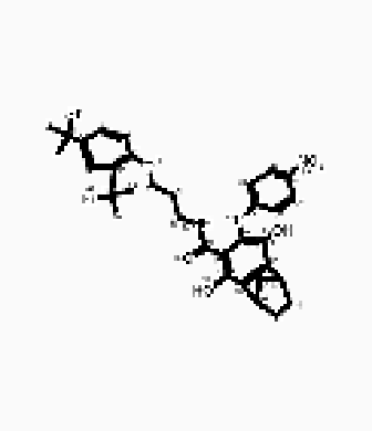 CCC(C)(C)c1ccc(OCCCNC(=O)c2c(O)c3c(c(O)c2Oc2ccc([N+](=O)[O-])cc2)C2CCC3C2)c(C(C)(C)CC)c1